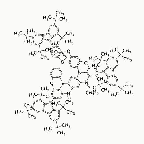 CSN1c2cc3c(cc2B2c4cc5c(cc4Oc4cc(-n6c7c(C(C)(C)C)cc(C(C)(C)C)cc7c7cc(C(C)(C)C)cc(C(C)(C)C)c76)cc1c42)Oc1cc(-n2c4c(C(C)(C)C)cc(C(C)(C)C)cc4c4cc(C(C)(C)C)cc(C(C)(C)C)c42)cc2c1B5c1ccccc1O2)B1c2ccccc2Oc2cc(-n4c5c(C(C)(C)C)cc(C(C)(C)C)cc5c5cc(C(C)(C)C)cc(C(C)(C)C)c54)cc(c21)N3